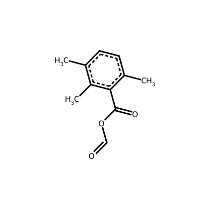 Cc1ccc(C)c(C(=O)OC=O)c1C